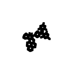 Cc1cc(C)c(B(c2ccc(-c3nc4ccccc4c4c3cc3ccc5cccc6ccc4c3c56)cc2)c2c(C)cc(C)cc2C)c(C)c1